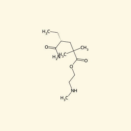 CC[C@H](CC(C)(C)C(=O)OCCNC)C(N)=O